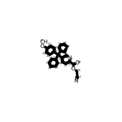 COc1ccc(C(c2ccccc2)(c2ccccc2)c2ccc(C(=O)OCC#N)nc2)cc1